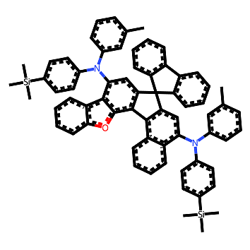 Cc1cccc(N(c2ccc([Si](C)(C)C)cc2)c2cc3c(c4ccccc24)-c2c(cc(N(c4ccc([Si](C)(C)C)cc4)c4cccc(C)c4)c4c2oc2ccccc24)C32c3ccccc3-c3ccccc32)c1